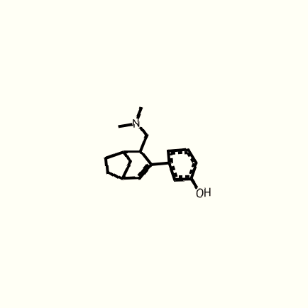 CN(C)CC1C(c2cccc(O)c2)=CC2CCC1C2